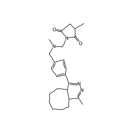 CC1=NN=C(c2ccc(CN(C)CN3C(=O)CC(C)C3=O)cc2)C2CCCCCCC12